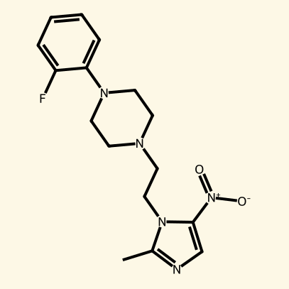 Cc1ncc([N+](=O)[O-])n1CCN1CCN(c2ccccc2F)CC1